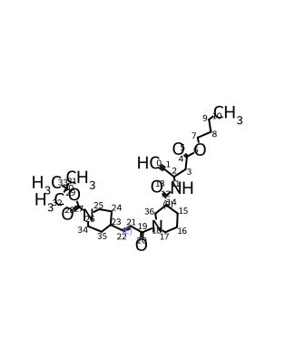 C#CC(CC(=O)OCCCC)NC(=O)[C@@H]1CCCN(C(=O)/C=C/C2CCN(C(=O)OC(C)(C)C)CC2)C1